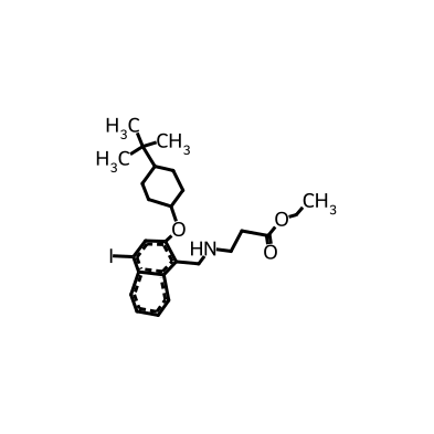 CCOC(=O)CCNCc1c(OC2CCC(C(C)(C)C)CC2)cc(I)c2ccccc12